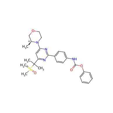 C=S(C)(=O)C(C)(C)c1cc(N2CCOC[C@@H]2C)nc(-c2ccc(NC(=O)Oc3ccccc3)cc2)n1